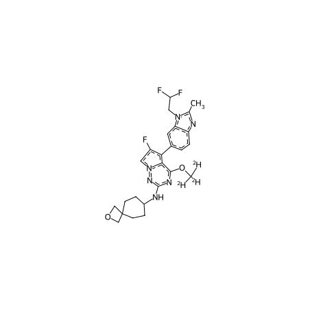 [2H]C([2H])([2H])Oc1nc(NC2CCC3(CC2)COC3)nn2cc(F)c(-c3ccc4nc(C)n(CC(F)F)c4c3)c12